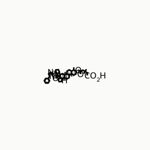 CC1C2CC[C@]3(C)C(CC[C@@H]4C5CCC[C@]5(C(=O)N5CCC[C@H]5c5ncc(-c6ccccc6)[nH]5)CC[C@]43C)[C@@]2(C)CC[C@@H]1OC(=O)CC(C)(C)CC(=O)O